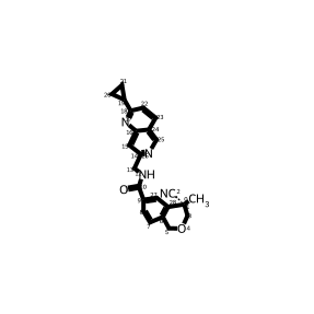 C[C@@]1(C#N)COCc2ccc(C(=O)NCc3cc4nc(C5CC5)ccc4cn3)cc21